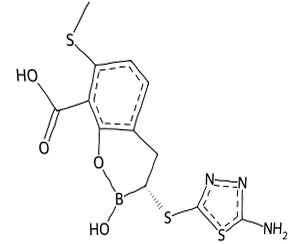 CSc1ccc2c(c1C(=O)O)OB(O)[C@@H](Sc1nnc(N)s1)C2